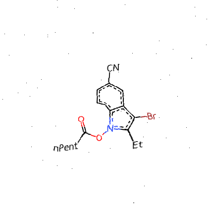 CCCCCC(=O)On1c(CC)c(Br)c2cc(C#N)ccc21